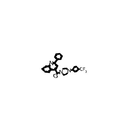 O=C(c1cc(-c2ccccc2)nc2ccccc12)N1CCN(c2ccc(C(F)(F)F)cc2)CC1